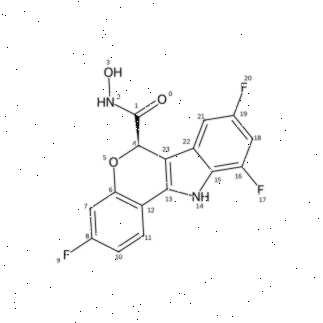 O=C(NO)[C@@H]1Oc2cc(F)ccc2-c2[nH]c3c(F)cc(F)cc3c21